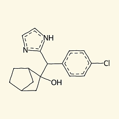 OC1(C(c2ccc(Cl)cc2)c2ncc[nH]2)CC2CCC1C2